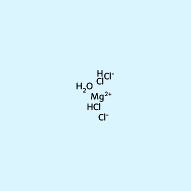 Cl.Cl.O.[Cl-].[Cl-].[Mg+2]